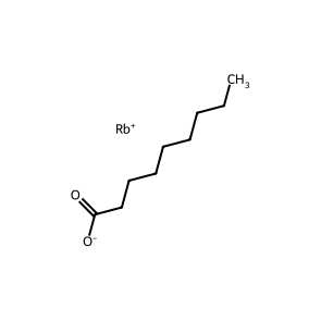 CCCCCCCCC(=O)[O-].[Rb+]